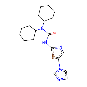 O=C(Nc1ncc(-n2ccnc2)s1)N(C1CCCCC1)C1CCCCC1